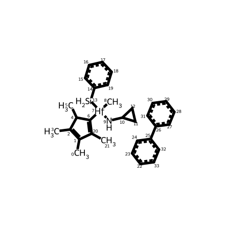 CC1=C(C)C(C)[C]([Hf]([CH3])([NH]C2CC2)[SiH2]c2ccccc2)=C1C.c1ccc(-c2ccccc2)cc1